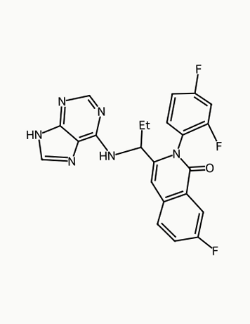 CCC(Nc1ncnc2[nH]cnc12)c1cc2ccc(F)cc2c(=O)n1-c1ccc(F)cc1F